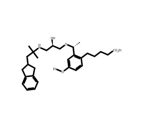 CCOC(=O)CCCCc1ccc(OCC)cc1[C@@H](C)OC[C@H](O)CNC(C)(C)CC1Cc2ccccc2C1